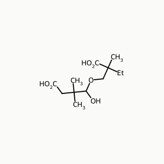 CCC(C)(COC(O)C(C)(C)CC(=O)O)C(=O)O